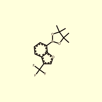 CC1(C)OB(c2cccc3c(C(F)(F)F)coc23)OC1(C)C